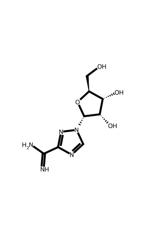 N=C(N)c1ncn([C@@H]2O[C@@H](CO)[C@H](O)[C@@H]2O)n1